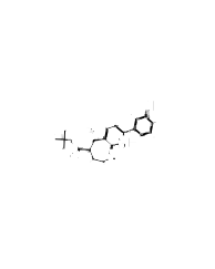 CC(C)(C)OC(=O)C1CCN=C2NC(c3cccc(Cl)c3)=CC=C2C1=O